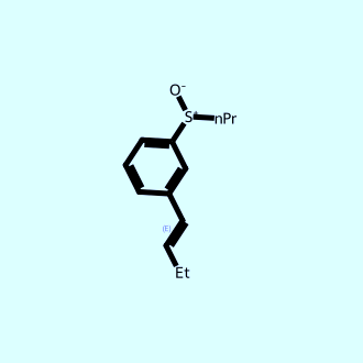 [CH2]C/C=C/c1cccc([S+]([O-])CCC)c1